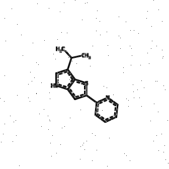 CC(C)c1c[nH]c2cc(-c3ccccn3)sc12